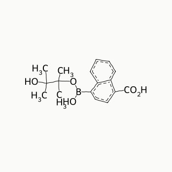 CC(C)(O)C(C)(C)OB(O)c1ccc(C(=O)O)c2ccccc12